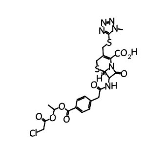 CC(OC(=O)CCl)OC(=O)c1ccc(CC(=O)NC2C(=O)N3C(C(=O)O)=C(CSc4nnnn4C)CS[C@@H]23)cc1